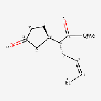 CC/C=C\C[C@@H](C(=O)OC)[C@@H]1CCC(=O)C1